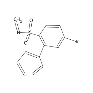 C=NS(=O)(=O)c1ccc(Br)cc1-c1ccccc1